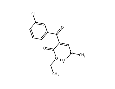 CCOC(=O)/C(=C\N(C)C)C(=O)c1cccc(Cl)c1